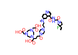 C=CC1(F)CCN(C(=O)CNC(=O)c2ccnc3ccc(N(C)CCCN4CCN(C(=O)CCC(C(=O)O)N5CCN(CC(=O)O)CCN(CC(=O)O)CC5)CC4)cc23)C1